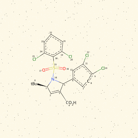 CC(C)(C)[C@@H]1C=C(C(=O)O)C(c2ccc(Cl)c(Cl)c2)N1S(=O)(=O)c1c(Cl)cccc1Cl